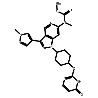 CN(C(=O)OC(C)(C)C)c1cc2c(cn1)c(-c1cnn(C)c1)nn2C1CCC(Oc2nccc(=O)[nH]2)CC1